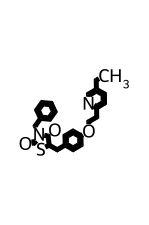 CCc1ccc(CCOc2ccc(CC3SC(=O)N(Cc4ccccc4)C3=O)cc2)nc1